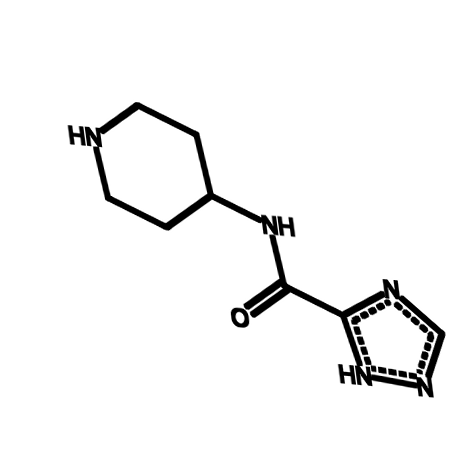 O=C(NC1CCNCC1)c1ncn[nH]1